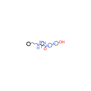 Cc1c(NCCCc2ccccc2)ncnc1C(=O)N1CCC(N2CCC(O)CC2)CC1